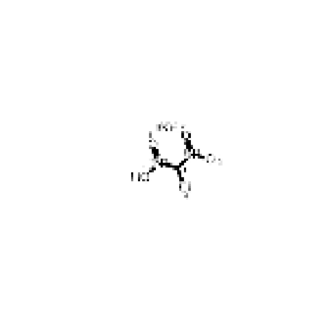 O=[N+]([O-])C(Cl)[N+](=O)O.[KH]